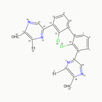 CCc1nc(-c2cccc(-c3cccc(-c4cnc(C=O)c(CC)n4)c3Cl)c2Cl)cnc1C=O